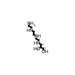 NCCNCCNCCNCC(O)CO